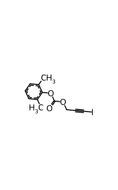 Cc1cccc(C)c1OC(=O)OCC#CI